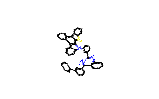 c1ccc(-c2cccc(-c3nc(-c4cccc(-n5c6ccccc6c6c7ccccc7c7c8ccccc8sc7c65)c4)nc4ccccc34)c2)cc1